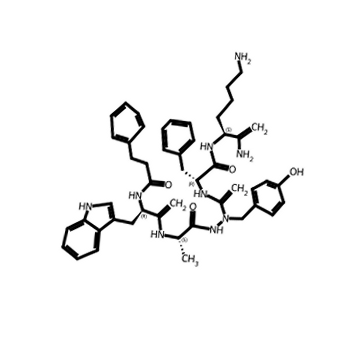 C=C(N)[C@H](CCCCN)NC(=O)[C@@H](Cc1ccccc1)NC(=C)N(Cc1ccc(O)cc1)NC(=O)[C@H](C)NC(=C)[C@@H](Cc1c[nH]c2ccccc12)NC(=O)CCc1ccccc1